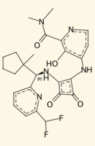 CN(C)C(=O)c1nccc(Nc2c(N[C@@H](c3cccc(C(F)F)n3)C3(C)CCCC3)c(=O)c2=O)c1O